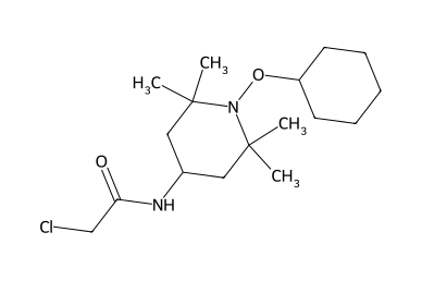 CC1(C)CC(NC(=O)CCl)CC(C)(C)N1OC1CCCCC1